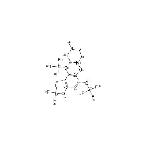 [CH2]C1CCN(Oc2c(OC(F)(F)F)cc(OC(F)(F)F)cc2OC(F)(F)F)CC1